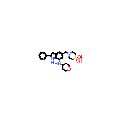 OS1(O)CCN(Cc2cc(NC3CCOCC3)c3[nH]c(-c4ccccc4)cc3c2)CC1